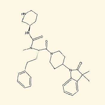 CN(C(=O)N[C@@H]1CCCNC1)[C@@H](CCc1ccccc1)C(=O)N1CCC(N2C(=O)C(C)(C)c3ccccc32)CC1